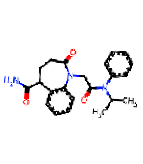 CC(C)N(C(=O)CN1C(=O)[C]CC(C(N)=O)c2ccccc21)c1ccccc1